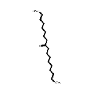 CCCCCCCCCCCCCCCCC[CH]C(=O)CCCCCCCCCCCCCCCCC